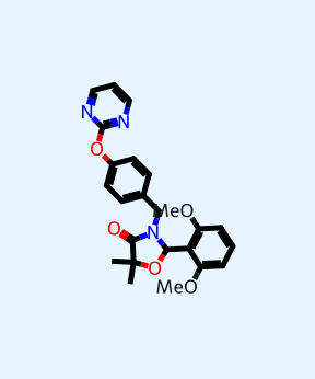 COc1cccc(OC)c1C1OC(C)(C)C(=O)N1Cc1ccc(Oc2ncccn2)cc1